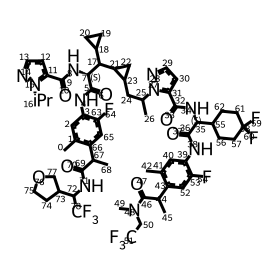 Cc1cc(NC(=O)[C@@H](NC(=O)c2ccnn2C(C)C)C(C2CC2)C2CC2CC(C)n2nccc2C(=O)N[C@H](C(=O)Nc2cc(C)c(C(C)C(=O)N(C)CC(F)(F)F)cc2F)C2CCC(F)(F)CC2)c(F)cc1C(C)C(=O)NC(C1CCOC1)C(F)(F)F